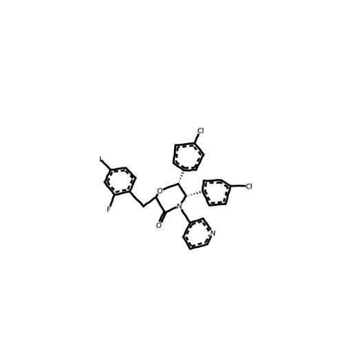 O=C1C(Cc2ccc(I)cc2F)O[C@H](c2ccc(Cl)cc2)[C@H](c2ccc(Cl)cc2)N1c1cccnc1